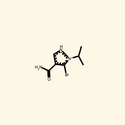 CC(C)[n+]1[nH]cc(C(N)=O)c1Br